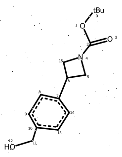 CC(C)(C)OC(=O)N1CC(c2ccc(CO)cc2)C1